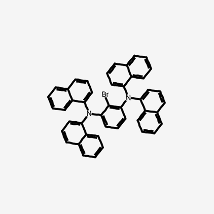 Brc1c(N(c2cccc3ccccc23)c2cccc3ccccc23)cccc1N(c1cccc2ccccc12)c1cccc2ccccc12